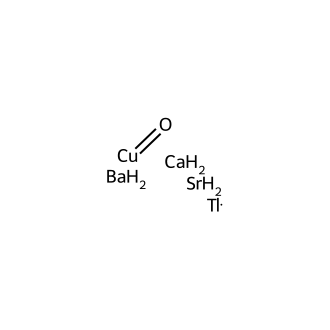 [BaH2].[CaH2].[O]=[Cu].[SrH2].[Tl]